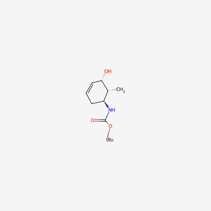 C[C@@H]1[C@@H](NC(=O)OC(C)(C)C)CC=C[C@@H]1O